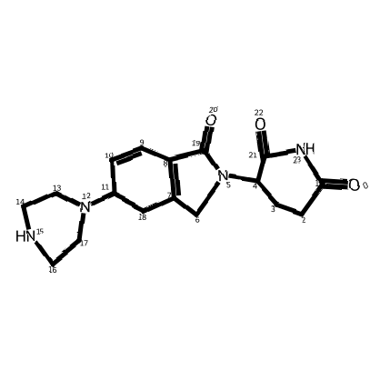 O=C1CCC(N2CC3=C(C=CC(N4CCNCC4)C3)C2=O)C(=O)N1